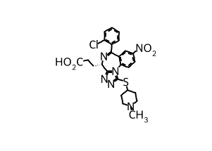 CN1CCC(Sc2nnc3n2-c2ccc([N+](=O)[O-])cc2C(c2ccccc2Cl)=N[C@H]3CCC(=O)O)CC1